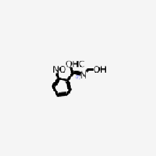 O=C/C(=N\CO)c1ccccc1N=O